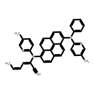 C#C/C(=C\C=C/C)N(c1ccc(C)cn1)c1ccc2ccc3c(N(c4ccccc4)c4ccc(C)cn4)ccc4ccc1c2c43